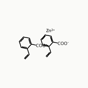 C=Cc1ccccc1C(=O)[O-].C=Cc1ccccc1C(=O)[O-].[Zn+2]